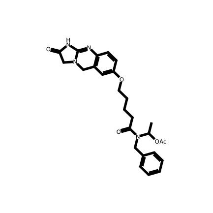 CC(=O)OC(C)N(Cc1ccccc1)C(=O)CCCCOc1ccc2c(c1)CN1CC(=O)NC1=N2